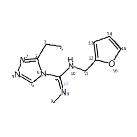 CCc1nncn1/C(=N\C)NCc1ccco1